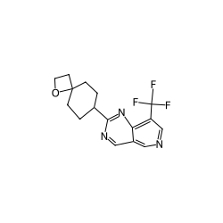 FC(F)(F)c1cncc2cnc(C3CCC4(CCO4)CC3)nc12